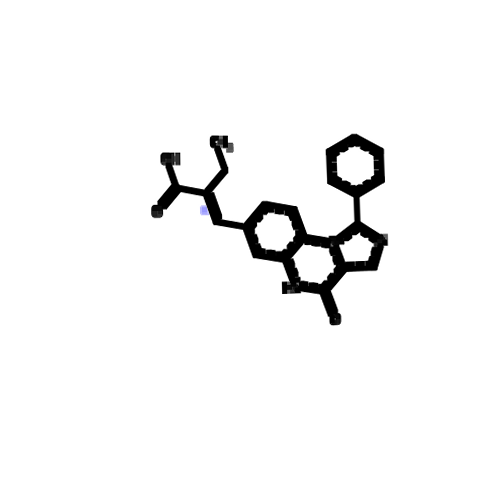 CC/C(=C\c1ccc2c(c1)[nH]c(=O)c1cnc(-c3ccccc3)n12)C(=O)O